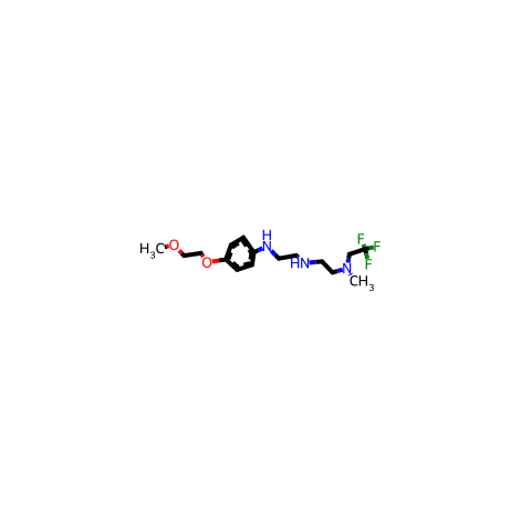 COCCOc1ccc(NCCNCCN(C)CC(F)(F)F)cc1